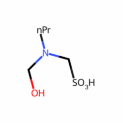 CCCN(CO)CS(=O)(=O)O